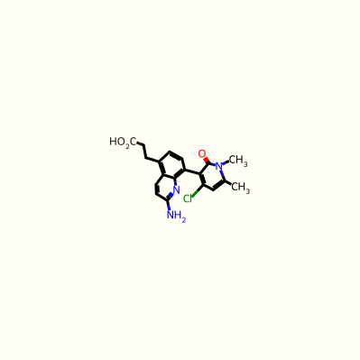 Cc1cc(Cl)c(-c2ccc(CCC(=O)O)c3ccc(N)nc23)c(=O)n1C